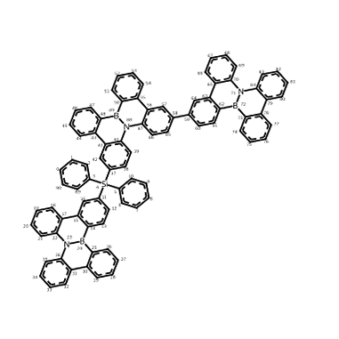 c1ccc([Si](c2ccccc2)(c2ccc3c(c2)-c2ccccc2N2B3c3ccccc3-c3ccccc32)c2ccc3c(c2)-c2ccccc2B2c4ccccc4-c4cc(-c5ccc6c(c5)-c5ccccc5N5B6c6ccccc6-c6ccccc65)ccc4N23)cc1